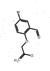 C=C(Cl)COc1ccc(Br)cc1C=O